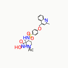 CC(=O)N1CC[C@@H](NS(=O)(=O)c2ccc(OCc3cc(C)nc4ccccc34)cc2)[C@@](C)(C(=O)NO)C1